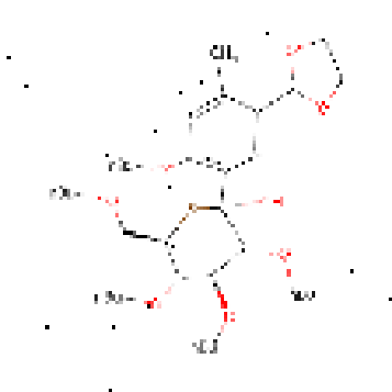 CCCCOC[C@H]1S[C@@](O)(c2cc(C3OCCO3)c(C)cc2OCCCC)[C@H](OCCCC)[C@@H](OCCCC)[C@@H]1OCCCC